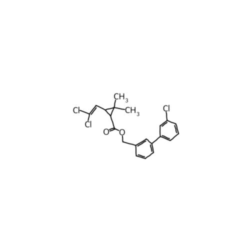 CC1(C)C(C=C(Cl)Cl)C1C(=O)OCc1cccc(-c2cccc(Cl)c2)c1